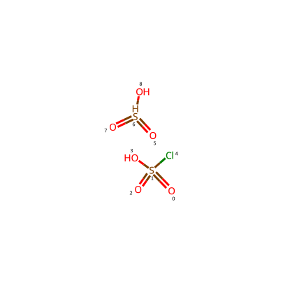 O=S(=O)(O)Cl.O=[SH](=O)O